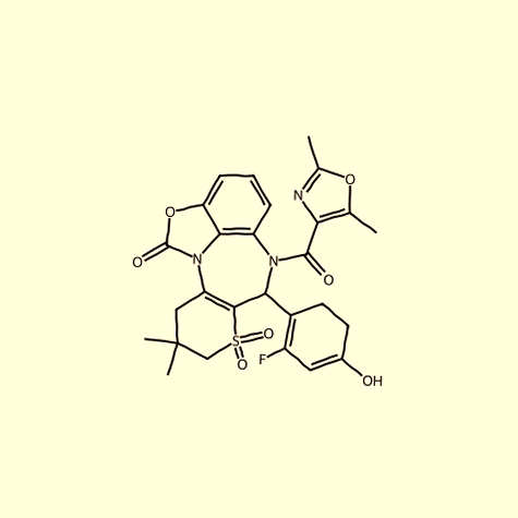 Cc1nc(C(=O)N2c3cccc4oc(=O)n(c34)C3=C(C2C2=C(F)C=C(O)CC2)S(=O)(=O)CC(C)(C)C3)c(C)o1